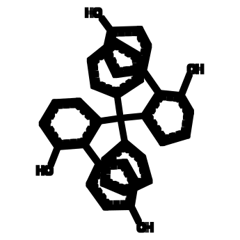 Oc1ccc(-c2c(O)cccc2C(c2ccccc2)(c2ccccc2)c2cccc(O)c2-c2ccc(O)cc2)cc1